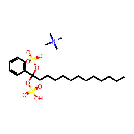 CCCCCCCCCCCCC(OS(=O)(=O)[O-])(OS(=O)(=O)O)c1ccccc1.C[N+](C)(C)C